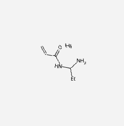 C=CC(=O)NC(N)CC.I